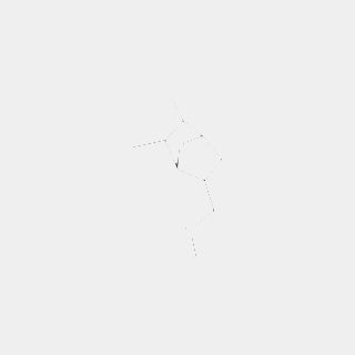 COCC1CC2OC1C(C)C2C